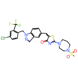 CS(=O)(=O)N1CCCN(C2=NC(=O)C(=Cc3ccc4c(cnn4Cc4ccc(Cl)cc4C(F)(F)F)c3)S2)CC1